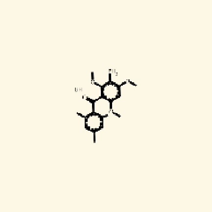 COc1cc(OC)c(C(=O)c2c(C)cc(C)cc2C)c(OC)c1P.[LiH]